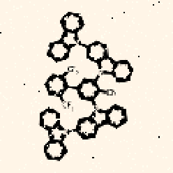 N#Cc1c(-n2c3ccccc3c3ccc(-n4c5ccccc5c5ccccc54)cc32)cc(-c2c(C(F)(F)F)cccc2C(F)(F)F)cc1-n1c2ccccc2c2ccc(-n3c4ccccc4c4ccccc43)cc21